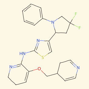 FC1(F)CC(c2csc(NC3=NCCC=C3OCC3C=CN=CC3)n2)N(c2ccccc2)C1